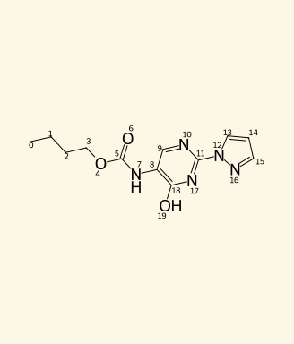 CCCCOC(=O)Nc1cnc(-n2cccn2)nc1O